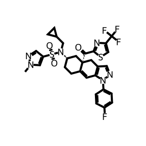 Cn1cc(S(=O)(=O)N(CC2CC2)[C@H]2CCC3=Cc4c(cnn4-c4ccc(F)cc4)C[C@]3(C(=O)c3nc(C(F)(F)F)cs3)C2)cn1